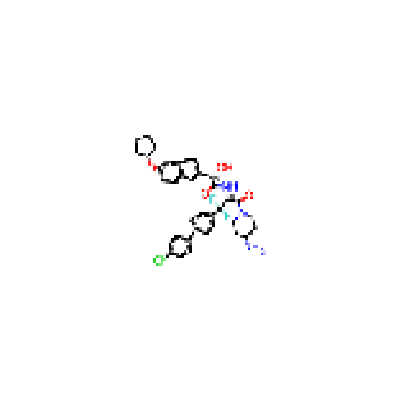 NC1CCN(C(=O)[C@@H](NC(=O)[C@@H](O)c2ccc3cc(OC4CCCC4)ccc3c2)C(F)(F)c2ccc(-c3ccc(Cl)cc3)cc2)CC1